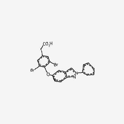 O=C(O)Cc1cc(Br)c(Oc2ccc3nn(-c4ccccc4)cc3c2)c(Br)c1